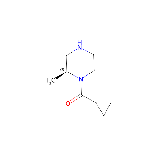 C[C@H]1CNCCN1C(=O)C1CC1